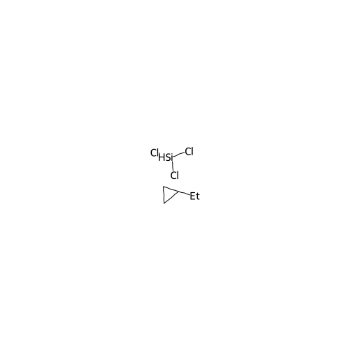 CCC1CC1.Cl[SiH](Cl)Cl